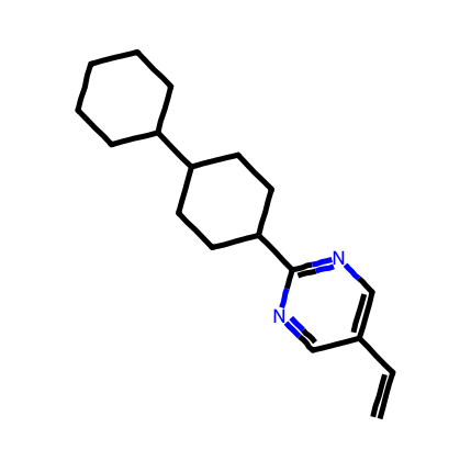 C=Cc1cnc(C2CCC(C3CCCCC3)CC2)nc1